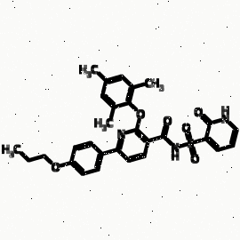 CCCOc1ccc(-c2ccc(C(=O)NS(=O)(=O)c3ccc[nH]c3=O)c(Oc3c(C)cc(C)cc3C)n2)cc1